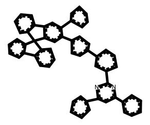 c1ccc(-c2cc(-c3ccccc3)nc(-c3cccc(-c4ccc(-c5cc6c(cc5-c5ccccc5)-c5ccccc5C65c6ccccc6-c6ccccc65)cc4)c3)n2)cc1